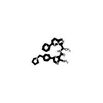 C[C@@H](NC(=O)c1nc(-c2ccc(CN3CCCC3)cc2)cnc1N)c1nnc2ccc(-c3ccccc3)nn12